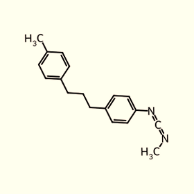 CN=C=Nc1ccc(CCCc2ccc(C)cc2)cc1